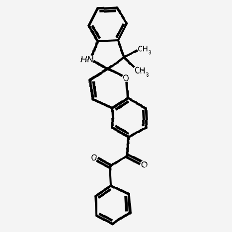 CC1(C)c2ccccc2NC12C=Cc1cc(C(=O)C(=O)c3ccccc3)ccc1O2